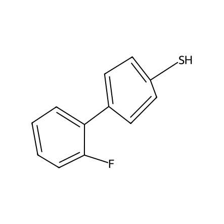 Fc1ccccc1-c1ccc(S)cc1